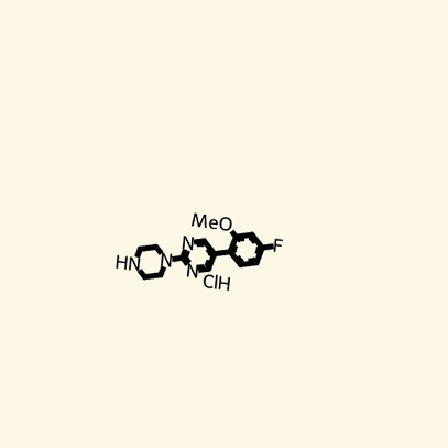 COc1cc(F)ccc1-c1cnc(N2CCNCC2)nc1.Cl